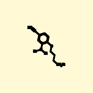 C#Cc1ccc(OCCCC(=O)OCC)c(N(CC)CC)c1